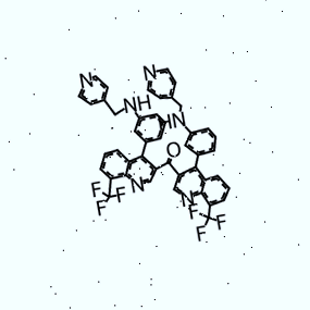 O=C(c1cnc2c(C(F)(F)F)cccc2c1-c1cccc(NCc2ccncc2)c1)c1cnc2c(C(F)(F)F)cccc2c1-c1cccc(NCc2ccncc2)c1